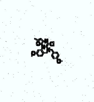 COc1ccc(CN(Cc2ccc(OC)cc2)c2nc3oc(C)cc3nc2Cl)cc1